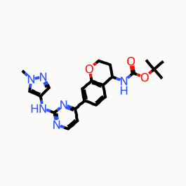 Cn1cc(Nc2nccc(-c3ccc4c(c3)OCCC4NC(=O)OC(C)(C)C)n2)cn1